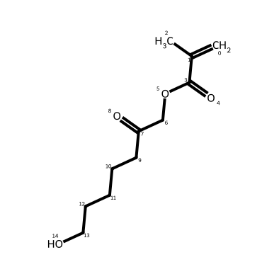 C=C(C)C(=O)OCC(=O)CCCCCO